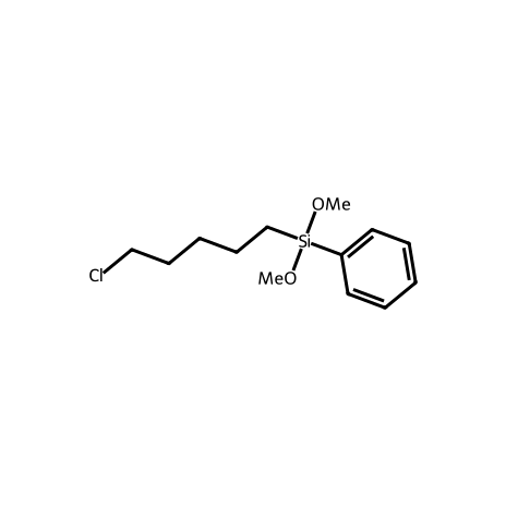 CO[Si](CCCCCCl)(OC)c1ccccc1